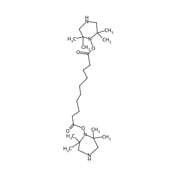 CC1(C)CNCC(C)(C)N1OC(=O)CCCCCCCCC(=O)ON1C(C)(C)CNCC1(C)C